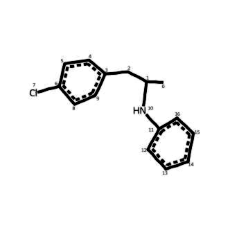 CC(Cc1ccc(Cl)cc1)Nc1ccccc1